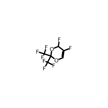 FC1=COC(C(F)(F)F)(C(F)(F)F)OC1F